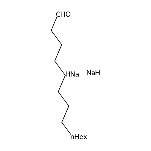 CCCCCCCCCCCCCC=O.[NaH].[NaH]